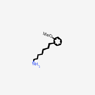 COc1ccccc1CCCCCCCN